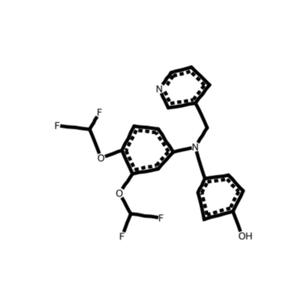 Oc1ccc(N(Cc2cccnc2)c2ccc(OC(F)F)c(OC(F)F)c2)cc1